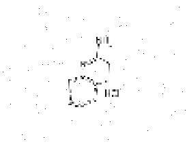 Cl.NC1=Nc2ccccc2CC1